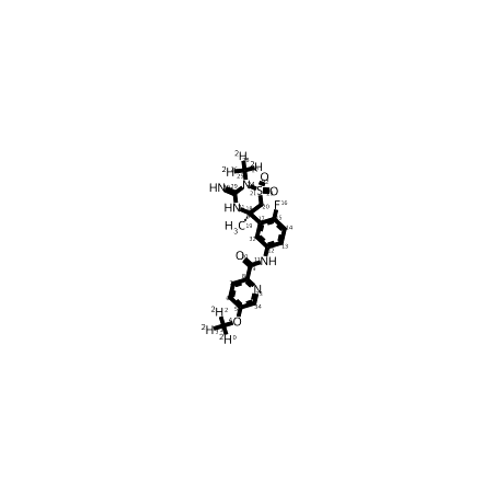 [2H]C([2H])([2H])Oc1ccc(C(=O)Nc2ccc(F)c([C@]3(C)CS(=O)(=O)N(C([2H])([2H])[2H])C(=N)N3)c2)nc1